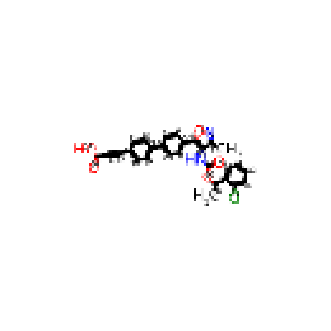 Cc1noc(-c2ccc(-c3ccc(C#CC(=O)O)cc3)cc2)c1NC(=O)OC(C)c1ccccc1Cl